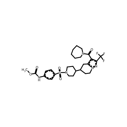 COC(=O)Nc1ccc(S(=O)(=O)N2CCC(C3CCn4nc(C(F)(F)F)c(C(=O)N5CCCCCC5)c4C3)CC2)cc1